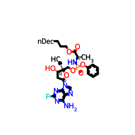 C#C[C@]1(COP(=O)(N[C@@H](C)C(=O)OCCCCCCCCCCCCC)Oc2ccccc2)O[C@@H](n2cnc3c(N)nc(F)nc32)C[C@@H]1O